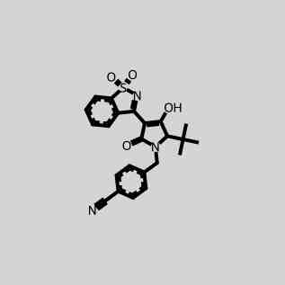 CC(C)(C)C1C(O)=C(C2=NS(=O)(=O)c3ccccc32)C(=O)N1Cc1ccc(C#N)cc1